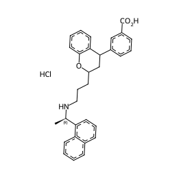 C[C@@H](NCCCC1CC(c2cccc(C(=O)O)c2)c2ccccc2O1)c1cccc2ccccc12.Cl